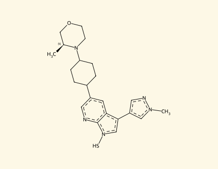 C[C@H]1COCCN1C1CCC(c2cnc3c(c2)c(-c2cnn(C)c2)cn3S)CC1